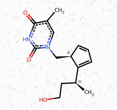 Cc1cn(C[C@H]2C=CC=C2[C@@H](C)CCO)c(=O)[nH]c1=O